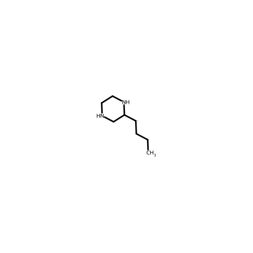 CCC[CH]C1CNCCN1